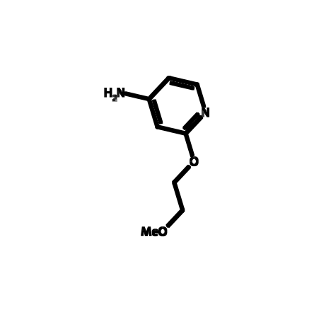 COCCOc1cc(N)ccn1